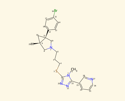 Cn1c(SCCCN2C[C@@H]3C[C@]3(c3ccc(Br)cc3)C2)nnc1-c1cccnc1